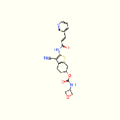 N#Cc1c(NC(=O)/C=C/c2cccnc2)sc2c1CCC(OC(=O)NC1COC1)C2